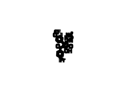 Cc1cnc(N2C(=O)C(O)=C(C(=O)c3ccc(C(C)C)cc3)C2c2ccc(OC(F)(F)F)cc2)nn1